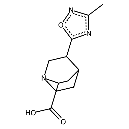 Cc1noc(C2CN3CCC2CC3C(=O)O)n1